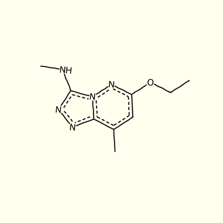 CCOc1cc(C)c2nnc(NC)n2n1